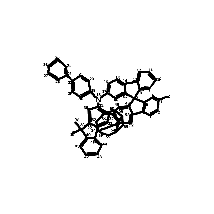 Cc1ccc2c(c1)C1(c3ccccc3-c3ccc(N(c4ccc(-c5ccccc5)cc4)c4ccc5c(c4)C(C)(C)c4ccccc4-5)cc31)c1cc3c(cc1-2)C1CC2CC(C1)CC3C2